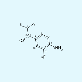 CC(C)[S+]([O-])c1ccc(N)c(F)c1